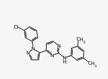 Cc1cc(C)cc(Nc2nccc(-c3ccnn3-c3cccc(Cl)c3)n2)c1